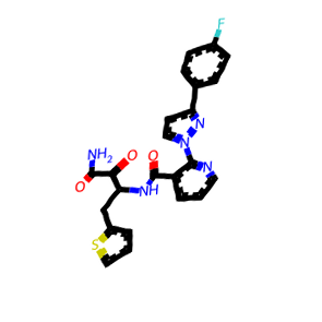 NC(=O)C(=O)C(Cc1cccs1)NC(=O)c1cccnc1-n1ccc(-c2ccc(F)cc2)n1